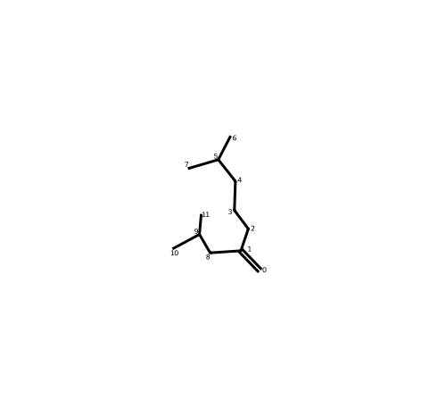 C=C(CCCC(C)C)CC(C)C